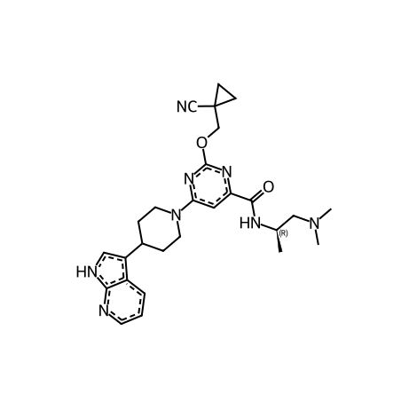 C[C@H](CN(C)C)NC(=O)c1cc(N2CCC(c3c[nH]c4ncccc34)CC2)nc(OCC2(C#N)CC2)n1